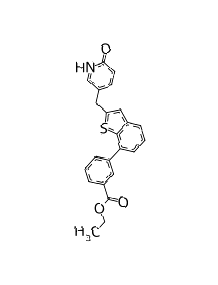 CCOC(=O)c1cccc(-c2cccc3cc(Cc4ccc(=O)[nH]c4)sc23)c1